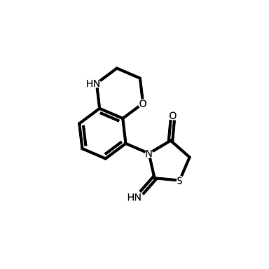 N=C1SCC(=O)N1c1cccc2c1OCCN2